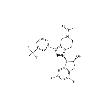 CC(=O)N1CCc2c(c(-c3cccc(C(F)(F)F)c3)nn2[C@@H]2c3cc(F)cc(F)c3C[C@@H]2O)C1